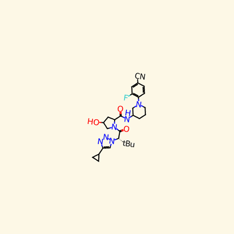 CC(C)(C)[C@@H](C(=O)N1CC(O)CC1C(=O)NC1CCCN(c2ccc(C#N)cc2F)C1)n1cc(C2CC2)nn1